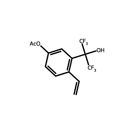 C=Cc1ccc(OC(C)=O)cc1C(O)(C(F)(F)F)C(F)(F)F